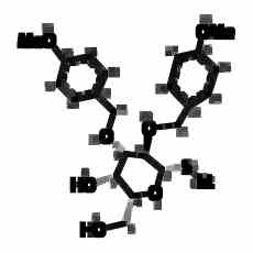 CCS[C@@H]1O[C@H](CO)[C@H](O)[C@H](OCc2ccc(OC)cc2)[C@H]1OCc1ccc(OC)cc1